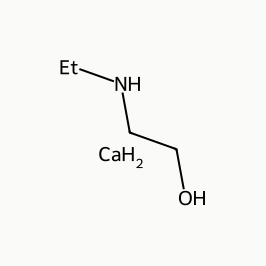 CCNCCO.[CaH2]